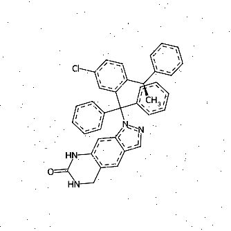 C[C@H](c1ccccc1)c1ccc(Cl)cc1C(c1ccccc1)(c1ccccc1)n1ncc2cc3c(cc21)NC(=O)NC3